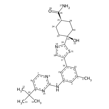 Cc1cc(Nc2nccc(C(C)(C)C)n2)cc(-c2cnc([C@]3(O)CC[C@@H](C(N)=O)CC3)s2)c1